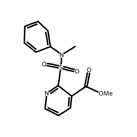 COC(=O)c1cccnc1S(=O)(=O)N(C)c1ccccc1